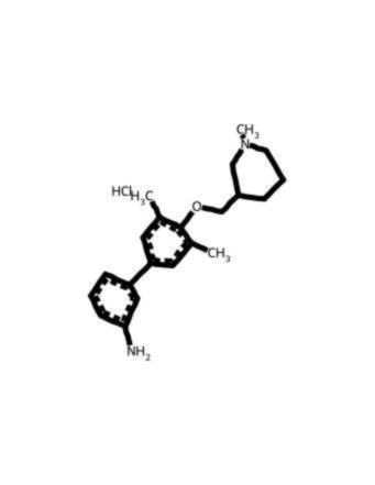 Cc1cc(-c2cccc(N)c2)cc(C)c1OCC1CCCN(C)C1.Cl